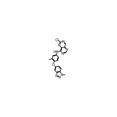 Cc1cc(Nc2ncnc3cnc(Cl)nc23)ccc1Oc1ccc2c(c1)nnn2C